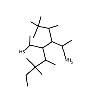 CCC(C)(C)C(C)C(C(C)S)C(C(C)N)C(C)C(C)(C)C